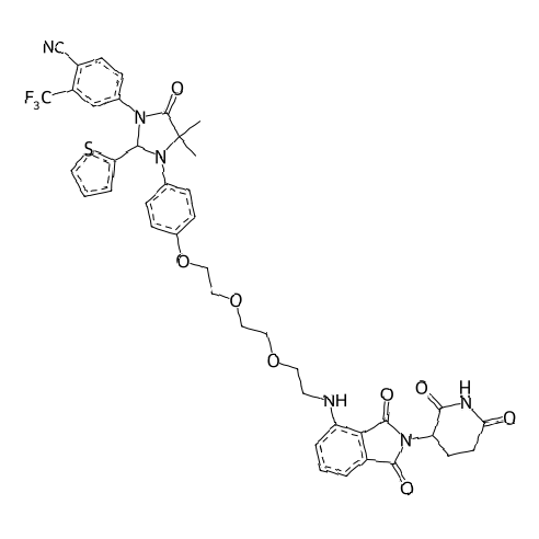 CC1(C)C(=O)N(c2ccc(C#N)c(C(F)(F)F)c2)C(c2cccs2)N1c1ccc(OCCOCCOCCNc2cccc3c2C(=O)N(C2CCC(=O)NC2=O)C3=O)cc1